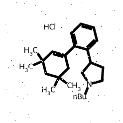 CCCCN1CCC(c2ccccc2C2=CC(C)(C)CC(C)(C)C2)C1.Cl